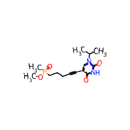 COP(C)(=O)CCCC#Cc1cn(C(C)C)c(=O)[nH]c1=O